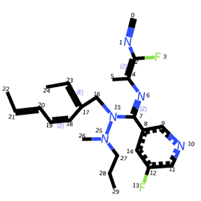 C=N/C(F)=C(C)/N=C(/c1cncc(F)c1)N(CC(/C=C\C=CC)=C/C)N(C)CCC